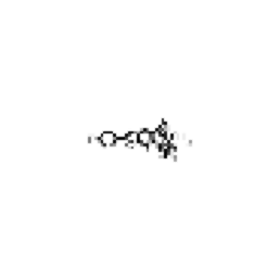 CN(c1nc2oc(-c3ccc(F)cc3)cc2cc1C1CC1)S(C)(=O)=O